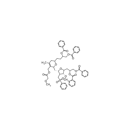 COCC(=O)OCC1=C(C)CC(CCC(COC(=O)c2ccccc2)OC(=O)c2ccccc2)OC1C[C@@H]1OC(CC(COC(=O)c2ccccc2)OC(=O)c2ccccc2)[C@H](OC)C1CS(=O)(=O)c1ccccc1